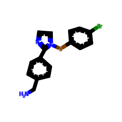 NCc1ccc(-c2nccn2Sc2ccc(Br)cc2)cc1